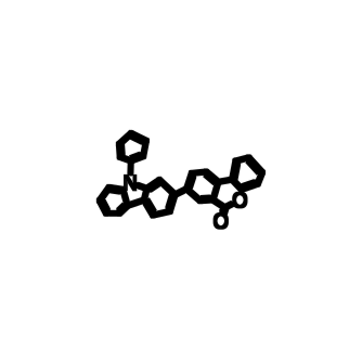 O=c1oc2ccccc2c2ccc(-c3ccc4c5ccccc5n(-c5ccccc5)c4c3)cc12